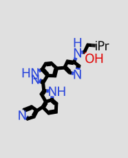 CC(C)CC(O)Nc1cncc(-c2ccc3[nH]nc(-c4cc5c(-c6ccncc6)cccc5[nH]4)c3c2)c1